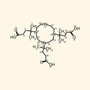 CC(C)(CCC(=O)O)N1CCNCCN(C(C)(C)CCC(=O)O)CCN(C(C)(C)CCC(=O)O)CC1